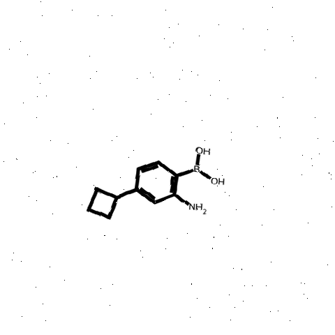 Nc1cc(C2CCC2)ccc1B(O)O